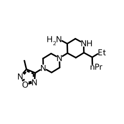 CCCC(CC)C1CC(N2CCN(c3nonc3C)CC2)C(N)CN1